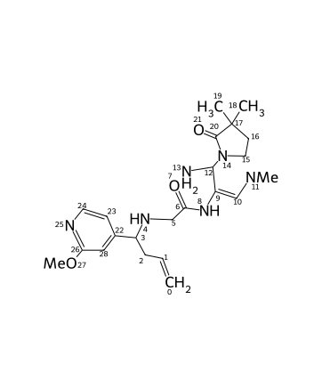 C=CCC(NCC(=O)N/C(=C/NC)C(N)N1CCC(C)(C)C1=O)c1ccnc(OC)c1